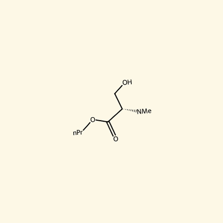 CCCOC(=O)[C@H](CO)NC